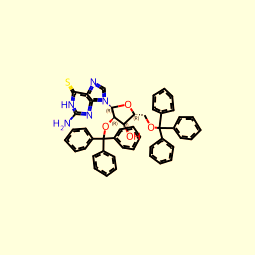 Nc1nc2c(ncn2[C@@H]2O[C@H](COC(c3ccccc3)(c3ccccc3)c3ccccc3)[C@@H](O)[C@H]2OC(c2ccccc2)(c2ccccc2)c2ccccc2)c(=S)[nH]1